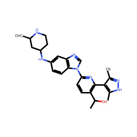 Cc1[nH]nc(C#N)c1-c1nc(-n2cnc3cc(NC4CCNC(C=O)C4)ccc32)ccc1C(C)O